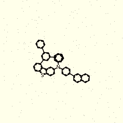 c1ccc(-c2cc(-c3ccccc3)cc(-c3cccc4sc5ccc(N(c6ccccc6)c6ccc(-c7ccc8ccccc8c7)cc6)cc5c34)c2)cc1